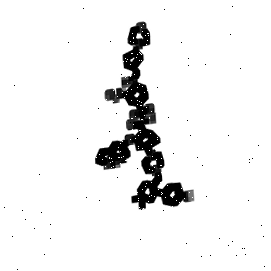 CC1(C)CCC(CN2CCN(c3ccc(C(=O)NS(=O)(=O)c4ccc(NC[C@H]5CC[C@@H](N6CCOCC6)C5)c([N+](=O)[O-])c4)c(Oc4cnc5[nH]ccc5c4)c3)CC2)=C(c2ccc(Cl)cc2)C1